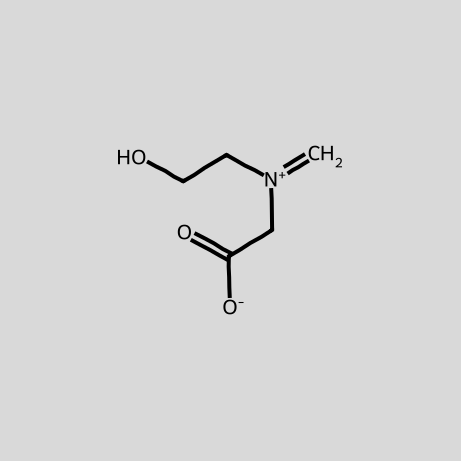 C=[N+](CCO)CC(=O)[O-]